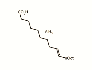 CCCCCCCCC=CCCCCCCCC(=O)O.[AlH3]